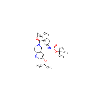 CC(C)Oc1cnc2c(c1)CN(C(=O)[C@@]1(C(C)C)CC[C@@H](NC(=O)OC(C)(C)C)C1)CC2